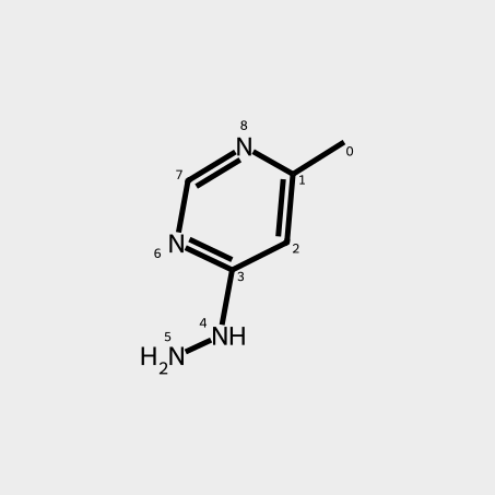 Cc1cc(NN)ncn1